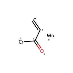 C=C[C](=O)[Cr].[Mo]